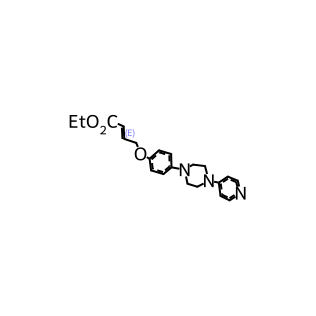 CCOC(=O)/C=C/COc1ccc(N2CCN(c3ccncc3)CC2)cc1